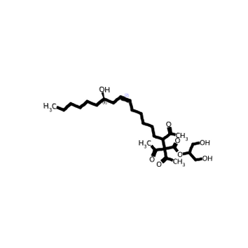 CCCCCC[C@@H](O)C/C=C\CCCCCC(C(C)=O)C(C(C)=O)(C(C)=O)C(=O)OC(CO)CO